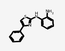 Nc1ccccc1Nc1nc(-c2ccccc2)cs1